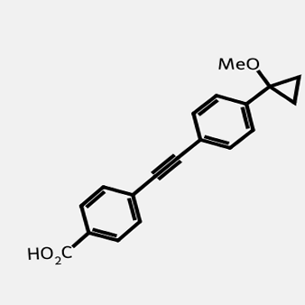 COC1(c2ccc(C#Cc3ccc(C(=O)O)cc3)cc2)CC1